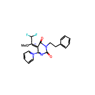 CO/C(=C1/C(=O)N(CCc2ccccc2)C(=O)N=C1[n+]1ccccc1)C(F)F